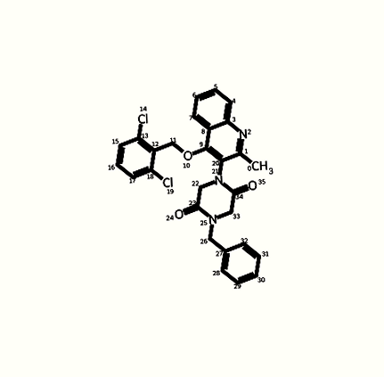 Cc1nc2ccccc2c(OCc2c(Cl)cccc2Cl)c1N1CC(=O)N(Cc2ccccc2)CC1=O